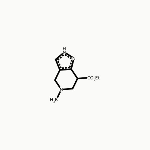 BN1Cc2c[nH]nc2C(C(=O)OCC)C1